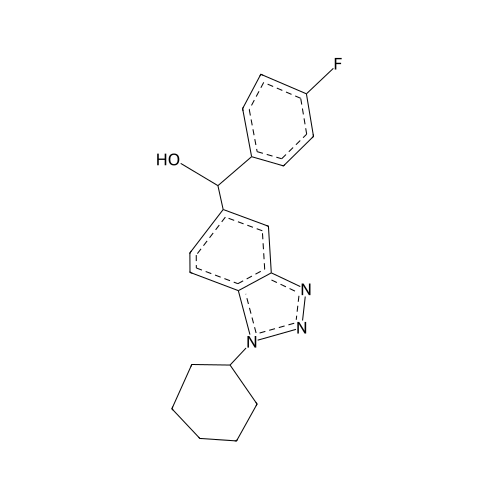 OC(c1ccc(F)cc1)c1ccc2c(c1)nnn2C1CCCCC1